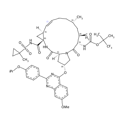 COc1ccc2c(O[C@@H]3C[C@H]4C(=O)N[C@]5(C(=O)NS(=O)(=O)C6(C)CC6)C[C@H]5/C=C\CC[C@H](C)C[C@@H](C)[C@H](NC(=O)OC(C)(C)C(F)(F)F)C(=O)N4C3)nc(-c3ccc(OC(C)C)cc3)nc2c1